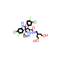 CC(C)(C)C[C@H]1N[C@@H](C(=O)NCC(CCO)CCO)[C@H](c2ccc(F)c(Cl)c2)[C@@]12C(=O)Nc1cc(Cl)c(F)cc12